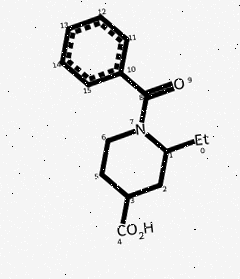 CCC1CC(C(=O)O)CCN1C(=O)c1ccccc1